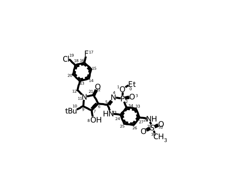 CCOP1(=O)N=C(C2=C(O)C(C(C)(C)C)N(Cc3ccc(F)c(Cl)c3)C2=O)Nc2ccc(NS(C)(=O)=O)cc21